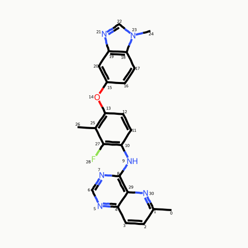 Cc1ccc2ncnc(Nc3ccc(Oc4ccc5c(c4)ncn5C)c(C)c3F)c2n1